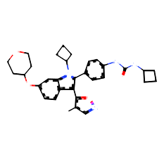 Cc1cnoc1-c1c(-c2ccc(NC(=O)NC3CCC3)cc2)n(C2CCC2)c2cc(OC3CCOCC3)ccc12